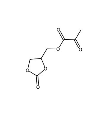 CC(=O)C(=O)OCC1COC(=O)O1